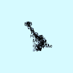 CC[C@H](C)C([C@@H](CC(=O)N1CCC[C@H]1[C@H](OC)[C@@H](C)C(=O)NS(=O)(=O)c1ccc(NC(=O)CCOCCOCCOCCN2C(=O)C=CC2=O)cc1)OC)N(C)C(=O)[C@@H](NC(=O)[C@H](C(C)C)N(C)C)C(C)C